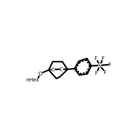 CCCCCCOC12CCC(c3ccc(S(F)(F)(F)(F)F)cc3)(CC1)CC2